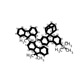 CC1(C)c2ccccc2-c2c(N(c3ccc4c(c3)C3(c5ccc([Si](C)(C)C)cc5-4)C4CC5CC(C4)CC3C5)c3cccc4c3C(C)(C)c3ccccc3-4)cccc21